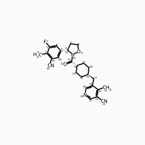 Cc1c(F)cc([C@@H]2CCON2C(=O)[C@H]2CC[C@H](Cc3cncc(C#N)c3C)CC2)cc1C#N